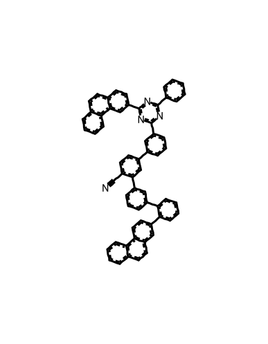 N#Cc1ccc(-c2cccc(-c3nc(-c4ccccc4)nc(-c4ccc5ccc6ccccc6c5c4)n3)c2)cc1-c1cccc(-c2ccccc2-c2ccc3c(ccc4ccccc43)c2)c1